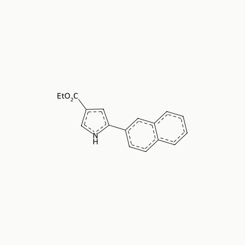 CCOC(=O)c1c[nH]c(-c2ccc3ccccc3c2)c1